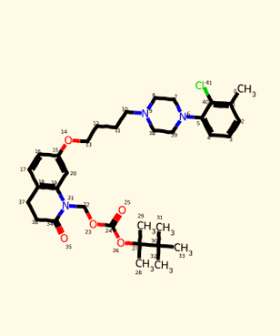 Cc1cccc(N2CCN(CCCCOc3ccc4c(c3)N(COC(=O)OC(C)(C)C(C)(C)C)C(=O)CC4)CC2)c1Cl